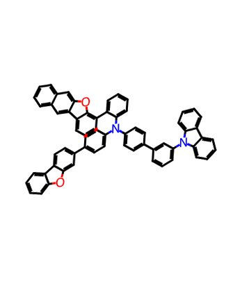 c1cc(-c2ccc(N(c3ccc(-c4ccc5c(c4)oc4ccccc45)cc3)c3ccccc3-c3cccc4c3oc3cc5ccccc5cc34)cc2)cc(-n2c3ccccc3c3ccccc32)c1